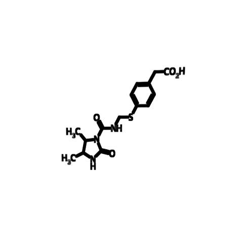 CC1NC(=O)N(C(=O)NCSc2ccc(CC(=O)O)cc2)C1C